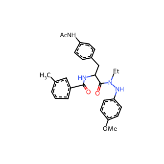 CCN(Nc1ccc(OC)cc1)C(=O)C(Cc1ccc(NC(C)=O)cc1)NC(=O)c1cccc(C)c1